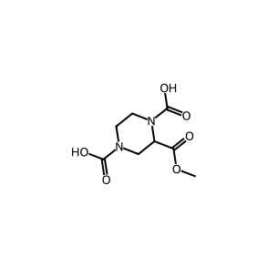 COC(=O)C1CN(C(=O)O)CCN1C(=O)O